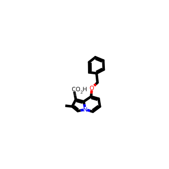 Cc1cn2cccc(OCc3ccccc3)c2c1C(=O)O